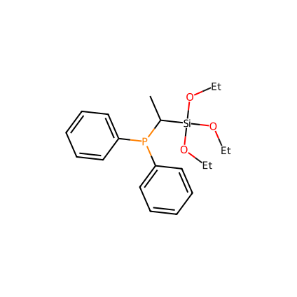 CCO[Si](OCC)(OCC)C(C)P(c1ccccc1)c1ccccc1